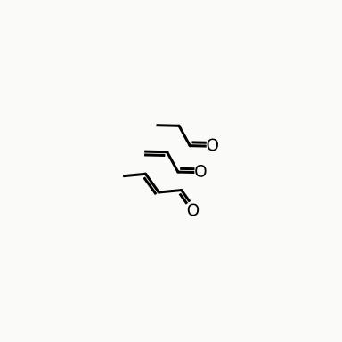 C/C=C/C=O.C=CC=O.CCC=O